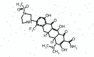 CN(C)[C@@H]1C(O)=C(C(N)=O)C(=O)C2C(O)=C3C(=O)c4c(O)cc(C5CN(S(C)(=O)=O)CCN5)c(C(F)(F)F)c4C[C@H]3C[C@H]21